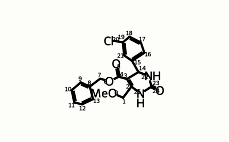 COCC1=C(C(=O)OCc2ccccc2)C(c2cccc(Cl)c2)NC(=O)N1